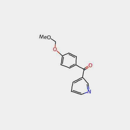 COCOc1ccc(C(=O)c2cccnc2)cc1